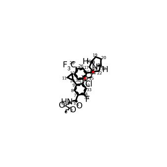 CS(=O)(=O)NC(=O)c1cc(C2CC2)c(OC[C@H]2C[C@H]3CC[C@@H](C2)N3Cc2cc(C(F)(F)F)ccc2Cl)cc1F